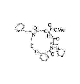 COC(=O)[C@@H]1CCC(=O)N(CCc2ccccc2)CCCCOc2ccccc2C(=O)N[C@H](Cc2ccccc2)C(=O)N1